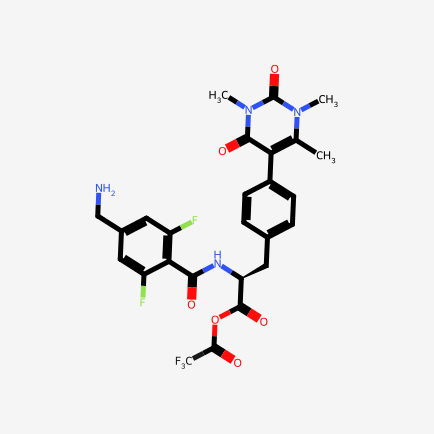 Cc1c(-c2ccc(C[C@H](NC(=O)c3c(F)cc(CN)cc3F)C(=O)OC(=O)C(F)(F)F)cc2)c(=O)n(C)c(=O)n1C